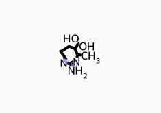 CC1/N=C(N)\N=C\CCC1C(O)O